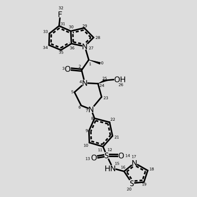 C[C@@H](C(=O)N1CCN(c2ccc(S(=O)(=O)Nc3nccs3)cc2)C[C@@H]1CO)n1ccc2c(F)cccc21